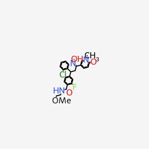 COCCNC(=O)c1ccc(C(CC(=NO)c2ccc(=O)n(C)c2)c2ccccc2Cl)cc1F